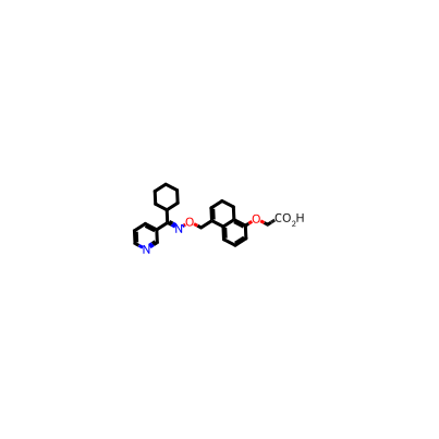 O=C(O)COc1cccc2c1CCC=C2CON=C(c1cccnc1)C1CCCCC1